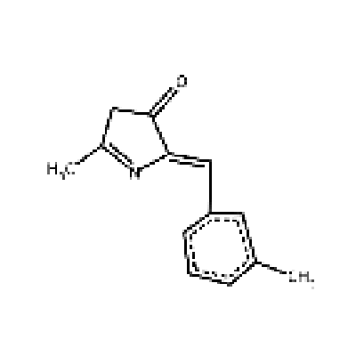 CC1=N/C(=C\c2cccc(C)c2)C(=O)C1